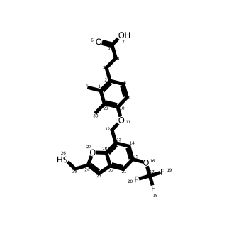 Cc1c(CCC(=O)O)ccc(OCc2cc(OC(F)(F)F)cc3cc(CS)oc23)c1C